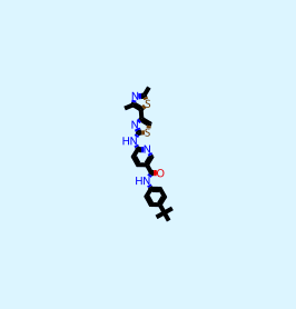 Cc1nc(C)c(-c2csc(Nc3ccc(C(=O)Nc4ccc(C(C)(C)C)cc4)cn3)n2)s1